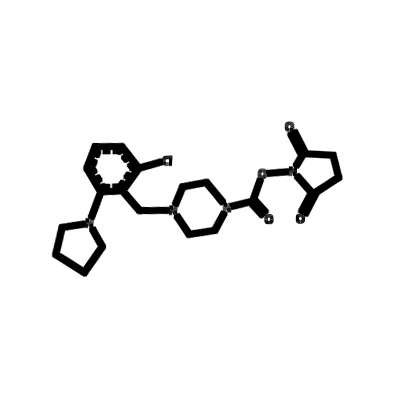 O=C(ON1C(=O)CCC1=O)N1CCN(Cc2c(Cl)cccc2N2CCCC2)CC1